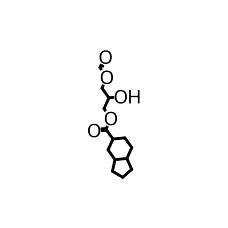 O=COCC(O)COC(=O)C1CCC2CCCC2C1